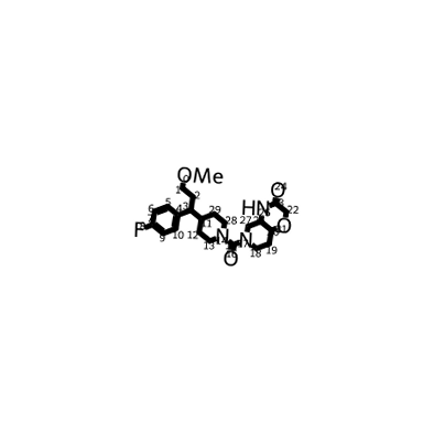 COCCC(c1ccc(F)cc1)C1CCN(C(=O)N2CCC3OCC(=O)NC3C2)CC1